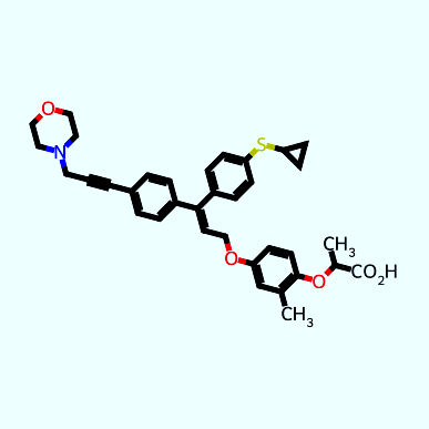 Cc1cc(OCC=C(c2ccc(C#CCN3CCOCC3)cc2)c2ccc(SC3CC3)cc2)ccc1OC(C)C(=O)O